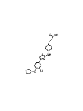 O=C(O)CCc1ccc(Nc2nc(-c3ccc(OC4CCCC4)c(Cl)c3)cs2)cc1